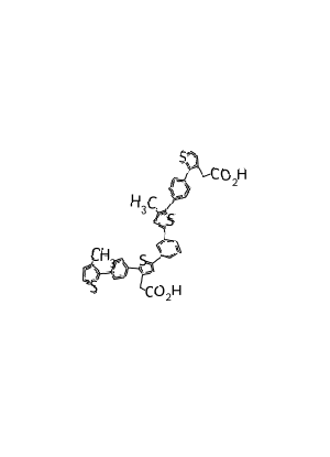 Cc1ccsc1-c1ccc(-c2sc(-c3cccc(-c4cc(C)c(-c5ccc(-c6sccc6CC(=O)O)cc5)s4)c3)cc2CC(=O)O)cc1